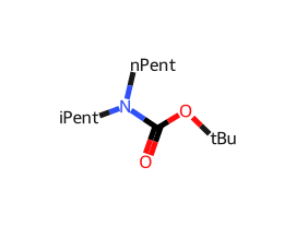 CCCCCN(C(=O)OC(C)(C)C)C(C)CCC